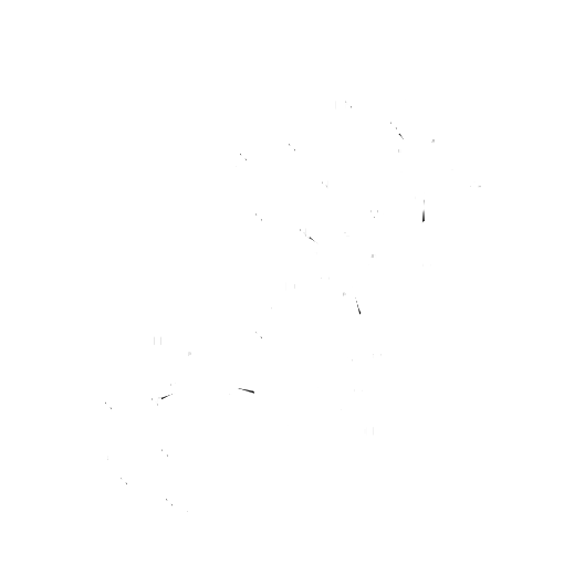 CCS(=O)(=O)NC[C@H]1[C@@H](O)[C@H](n2c[n+](C)c3c(=O)[nH]c(N)nc32)O[C@@H]1COP(=O)(O)OP(=O)(O)OP(=O)(O)OC[C@H]1O[C@@H](n2cnc3c(N)ncnc32)[C@H](OC)[C@@H]1P(=O)([O-])OC[C@H]1O[C@@H](n2ccc(=O)[nH]c2=O)[C@H](O)[C@@H]1O